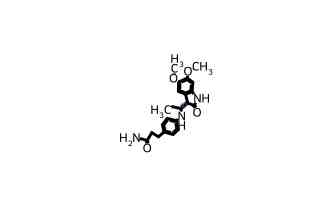 CC/C(Nc1ccc(CCC(N)=O)cc1)=C1/C(=O)Nc2cc(OC)c(OC)cc21